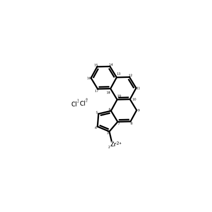 [Cl-].[Cl-].[Zr+2][C]1=CC=C2C1=CCc1ccc3ccccc3c12